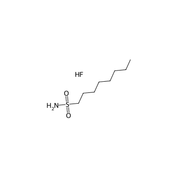 CCCCCCCCS(N)(=O)=O.F